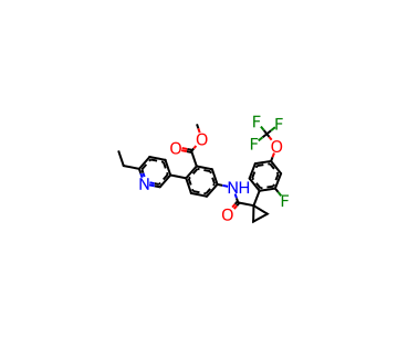 CCc1ccc(-c2ccc(NC(=O)C3(c4ccc(OC(F)(F)F)cc4F)CC3)cc2C(=O)OC)cn1